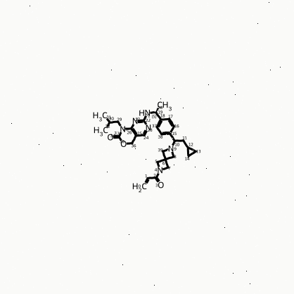 C=CC(=O)N1CC2(C1)CN(C(CC1CC1)c1ccc([C@H](C)Nc3ncc4c(n3)N(CC(C)C)C(=O)OC4)cc1)C2